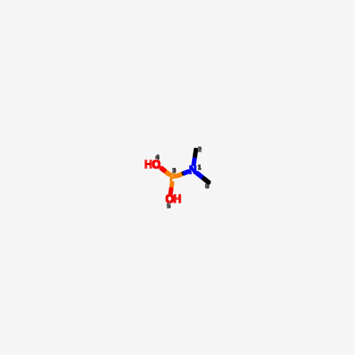 CN(C)P(O)O